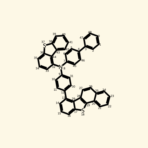 c1ccc(-c2ccc(N(c3ccc(-c4cccc5sc6c7ccccc7ccc6c45)cc3)c3cccc4sc5ccccc5c34)cc2)cc1